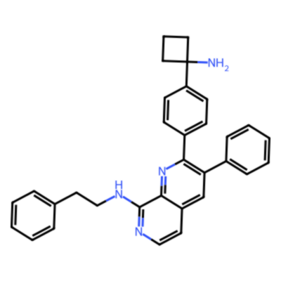 NC1(c2ccc(-c3nc4c(NCCc5ccccc5)nccc4cc3-c3ccccc3)cc2)CCC1